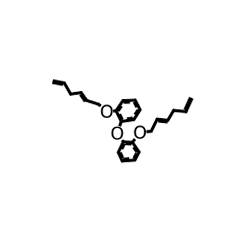 C=CCC=CCOc1ccccc1Oc1ccccc1OCC=CCC=C